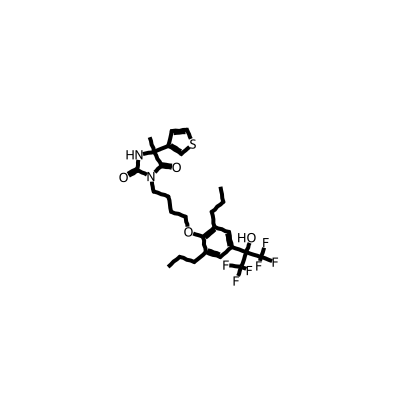 CCCc1cc(C(O)(C(F)(F)F)C(F)(F)F)cc(CCC)c1OCCCCN1C(=O)NC(C)(c2ccsc2)C1=O